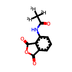 [2H]C([2H])([2H])C(=O)Nc1cccc2c1C(=O)OC2=O